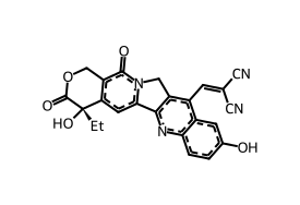 CC[C@@]1(O)C(=O)OCc2c1cc1n(c2=O)Cc2c-1nc1ccc(O)cc1c2C=C(C#N)C#N